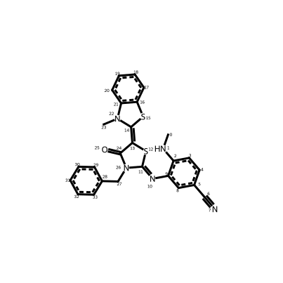 CNc1ccc(C#N)cc1/N=C1\S/C(=C2\Sc3ccccc3N2C)C(=O)N1Cc1ccccc1